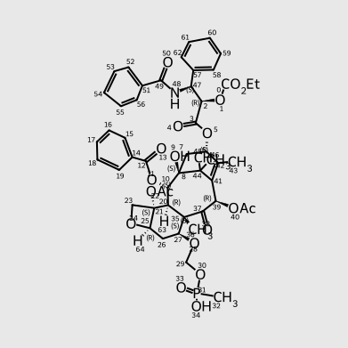 CCOC(=O)O[C@@H](C(=O)O[C@H]1C[C@@]2(O)[C@@H](OC(=O)c3ccccc3)[C@@H]3[C@]4(OC(C)=O)CO[C@@H]4C[C@H](OCOP(C)(=O)O)[C@@]3(C)C(=O)[C@H](OC(C)=O)C(=C1C)C2(C)C)[C@@H](NC(=O)c1ccccc1)c1ccccc1